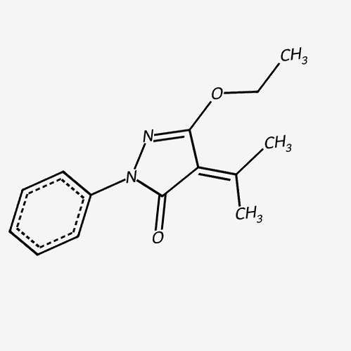 CCOC1=NN(c2ccccc2)C(=O)C1=C(C)C